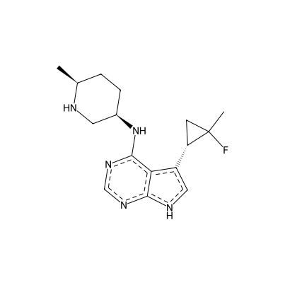 C[C@H]1CC[C@@H](Nc2ncnc3[nH]cc([C@@H]4CC4(C)F)c23)CN1